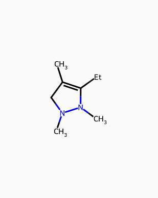 CCC1=C(C)CN(C)N1C